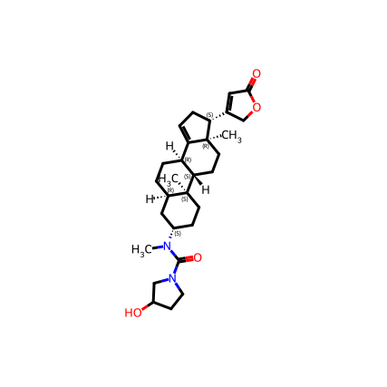 CN(C(=O)N1CCC(O)C1)[C@H]1CC[C@@]2(C)[C@H](CC[C@H]3C4=CC[C@H](C5=CC(=O)OC5)[C@@]4(C)CC[C@@H]32)C1